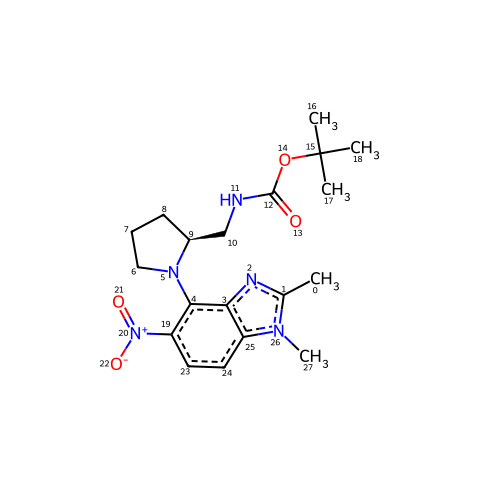 Cc1nc2c(N3CCC[C@H]3CNC(=O)OC(C)(C)C)c([N+](=O)[O-])ccc2n1C